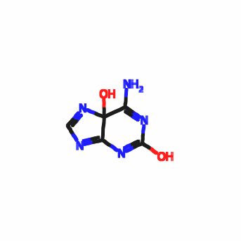 NC1=NC(O)=NC2=NC=NC12O